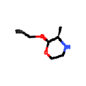 C[C@@H]1NCCO[C@H]1OCC(C)(C)C